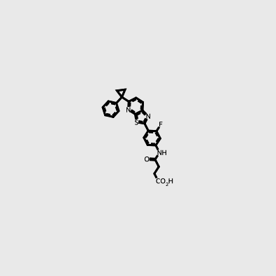 O=C(O)CCC(=O)Nc1ccc(-c2nc3ccc(C4(c5ccccc5)CC4)nc3s2)c(F)c1